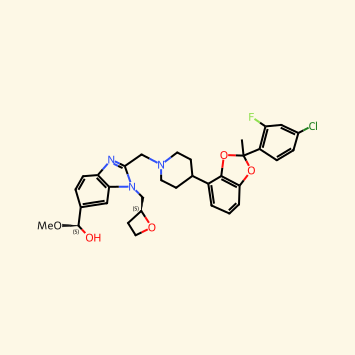 CO[C@H](O)c1ccc2nc(CN3CCC(c4cccc5c4OC(C)(c4ccc(Cl)cc4F)O5)CC3)n(C[C@@H]3CCO3)c2c1